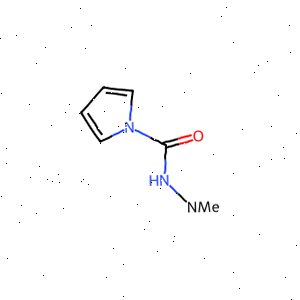 CNNC(=O)n1cccc1